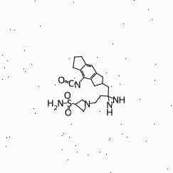 NS(=O)(=O)C1CN(CCC2(CC3Cc4cc5c(c(N=C=O)c4C3)CCC5)NN2)C1